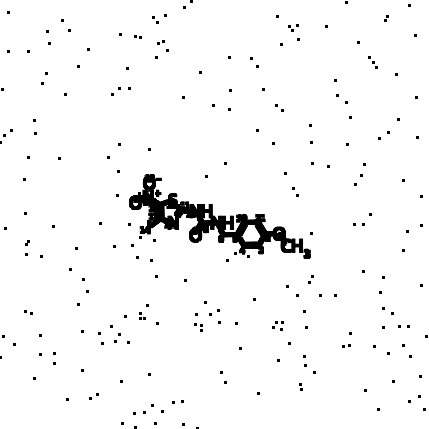 COc1ccc(CNC(=O)Nc2nc(I)c([N+](=O)[O-])s2)cc1